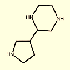 C1CC(C2CNCCN2)CN1